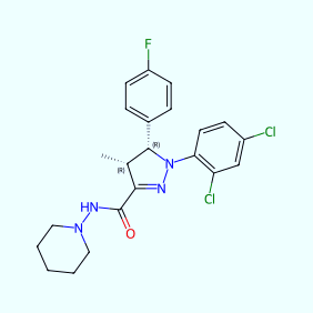 C[C@H]1C(C(=O)NN2CCCCC2)=NN(c2ccc(Cl)cc2Cl)[C@H]1c1ccc(F)cc1